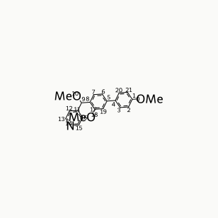 COc1ccc(-c2ccc(C(OC)c3ccncc3)c(OC)c2)cc1